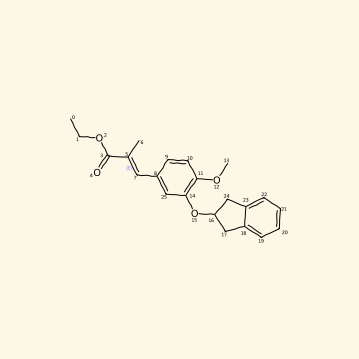 CCOC(=O)/C(C)=C/c1ccc(OC)c(OC2Cc3ccccc3C2)c1